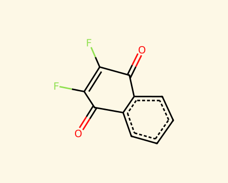 O=C1C(F)=C(F)C(=O)c2ccccc21